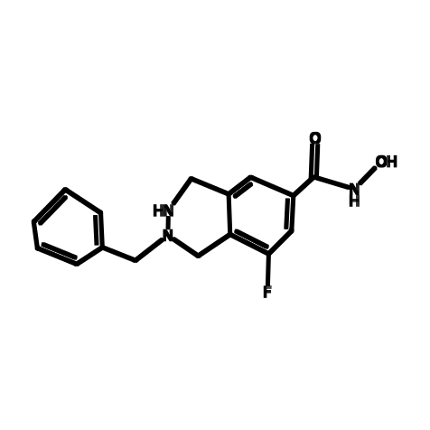 O=C(NO)c1cc(F)c2c(c1)CNN(Cc1ccccc1)C2